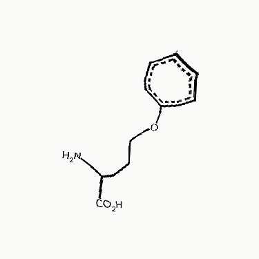 NC(CCOc1cc[c]cc1)C(=O)O